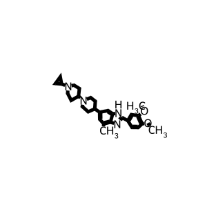 COc1ccc(-c2nc3c(C)cc(C4CCN(C5CCN(C6CC6)CC5)CC4)cc3[nH]2)cc1OC